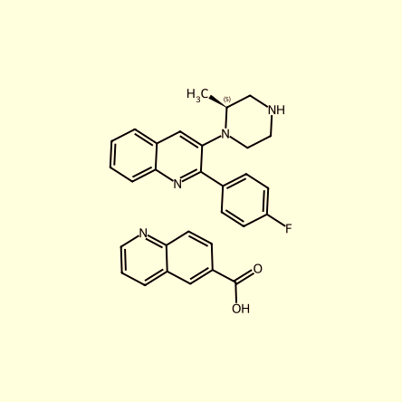 C[C@H]1CNCCN1c1cc2ccccc2nc1-c1ccc(F)cc1.O=C(O)c1ccc2ncccc2c1